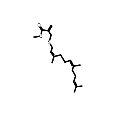 C=C(CSCC=C(C)CCC=C(C)CCC=C(C)C)C(=O)OC